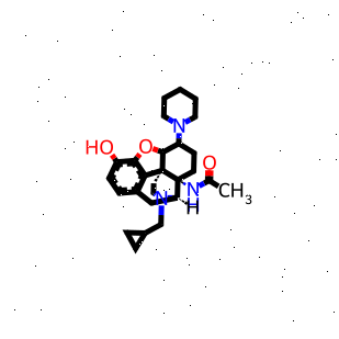 CC(=O)N[C@@]12CCC(N3CCCCC3)C3Oc4c(O)ccc5c4[C@@]31CCN(CC1CC1)[C@@H]2C5